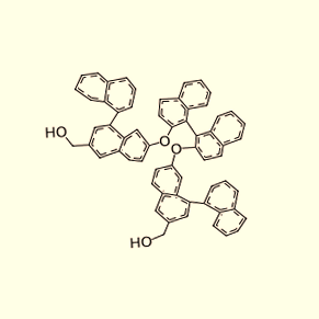 OCc1cc(-c2cccc3ccccc23)c2cc(Oc3ccc4ccccc4c3-c3c(Oc4ccc5cc(CO)cc(-c6cccc7ccccc67)c5c4)ccc4ccccc34)ccc2c1